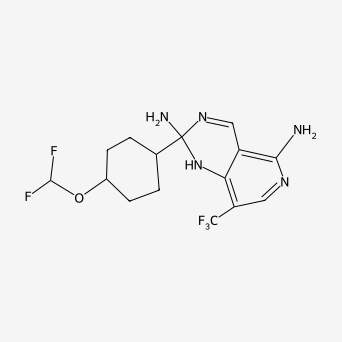 Nc1ncc(C(F)(F)F)c2c1C=NC(N)(C1CCC(OC(F)F)CC1)N2